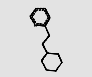 c1ccc(CCC2CCCCC2)nc1